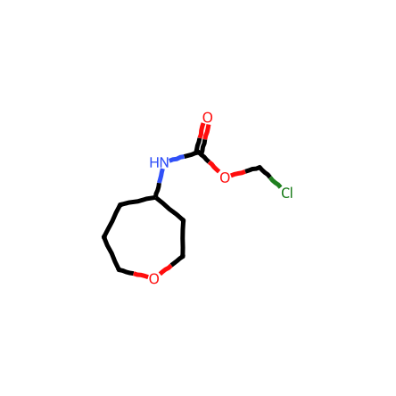 O=C(NC1CCCOCC1)OCCl